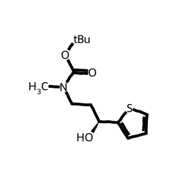 CN(CC[C@H](O)c1cccs1)C(=O)OC(C)(C)C